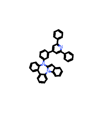 c1ccc(-c2cc(-c3cccc(N4c5ccccc5-c5ccccc5-n5c4cc4ccccc45)c3)cc(-c3ccccc3)n2)cc1